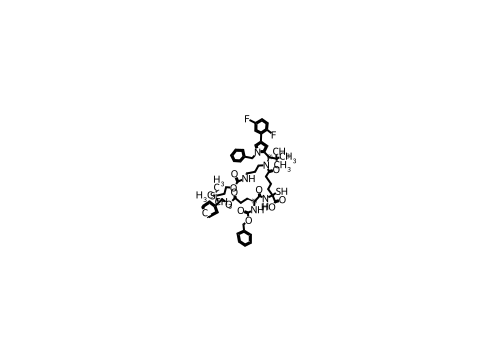 CC(C)(C)[C@H](c1cc(-c2cc(F)ccc2F)cn1Cc1ccccc1)N(CCCNC(=O)OCC[Si](C)(C)C)C(=O)CCCC(S)(NC(=O)[C@H](CCC(=O)OCc1ccccc1)NC(=O)OCc1ccccc1)C(=O)O